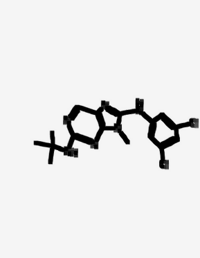 Cn1c(Nc2cc(Cl)cc(Cl)c2)nc2cnc(NC(C)(C)C)nc21